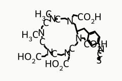 CN1CCN(C)CCN(CC(=O)O)CC(Cc2ccc(N=C=S)cc2)N(CC(=O)O)CCN(CC(=O)O)CCN(CC(=O)O)CC1